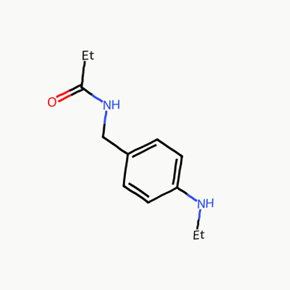 CCNc1ccc(CNC(=O)CC)cc1